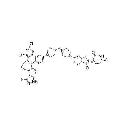 O=C1CC[C@H](N2Cc3cc(N4CCN(CC5CCN(c6ccc(C7=C(c8ccc(Cl)cc8Cl)CCCc8c7ccc7[nH]nc(F)c87)cc6)CC5)CC4)ccc3C2=O)C(=O)N1